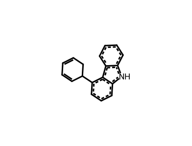 C1=CCC(c2cccc3[nH]c4ccccc4c23)C=C1